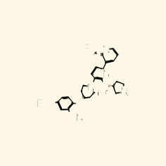 CCOc1ncccc1-c1ccc(N2CC[C@@H](Oc3ccc(C(F)(F)F)cc3C#N)C[C@H]2CC)c(O[C@@H]2CCN(C)C2)n1